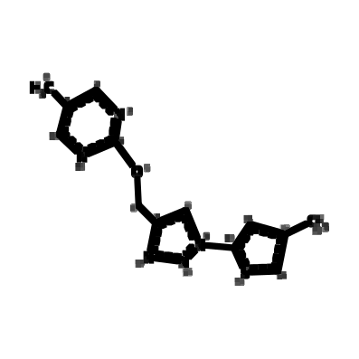 Cc1cnc(OCc2cn(-c3cc(C(F)(F)F)cs3)nn2)nc1